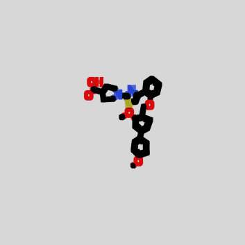 COc1ccc(-c2ccc(COc3ccccc3-c3csc(N4CCC(C(=O)O)CC4)n3)c(OC)c2)cc1